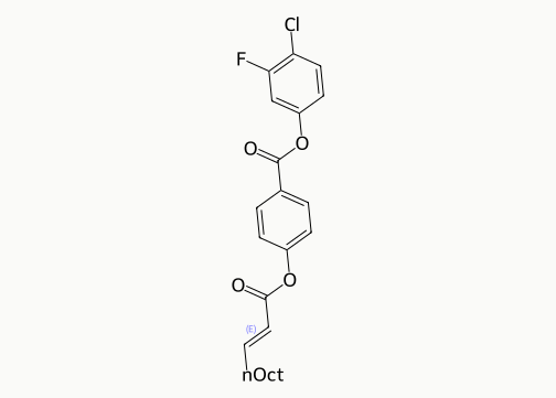 CCCCCCCC/C=C/C(=O)Oc1ccc(C(=O)Oc2ccc(Cl)c(F)c2)cc1